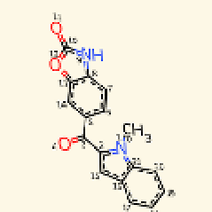 Cn1c(C(=O)c2ccc3[nH]c(=O)oc3c2)cc2ccccc21